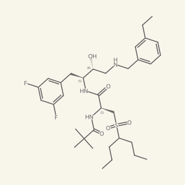 CCCC(CCC)S(=O)(=O)C[C@@H](NC(=O)C(C)(C)C)C(=O)N[C@@H](Cc1cc(F)cc(F)c1)[C@H](O)CNCc1cccc(CC)c1